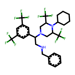 FC(F)(F)c1cc(C(CNCc2ccccc2)N2CC(C(F)(F)F)N(C3CCCCC3)C(C(F)(F)F)C2)cc(C(F)(F)F)c1